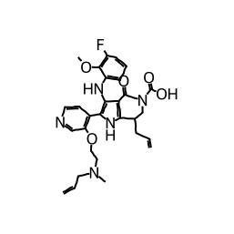 C=CCC1CN(C(=O)O)C(=O)c2c1[nH]c(-c1ccncc1OCCN(C)CC=C)c2Nc1cccc(F)c1OC